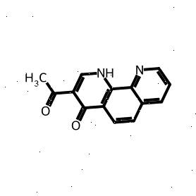 CC(=O)c1c[nH]c2c(ccc3cccnc32)c1=O